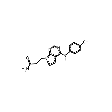 Cc1ccc(Nc2ncnc3c2ccn3CCC(N)=O)cc1